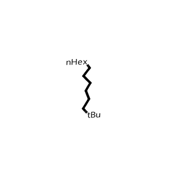 [CH2]C(C)(C)CCCCCCCCCCCC